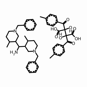 CC1CCN(Cc2ccccc2)CC1C(N)C1CN(Cc2ccccc2)CCC1C.Cc1ccc(C(=O)C(O)(C(=O)O)C(O)(C(=O)O)C(=O)c2ccc(C)cc2)cc1